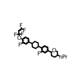 CCCC1CCC(c2ccc(C3CCC(c4ccc(OC(F)(F)C=C(F)F)c(F)c4)CC3)c(F)c2)OC1